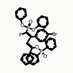 O=P(Oc1ccccc1)(Oc1ccccc1)C(F)=C(C=C(OP(=O)(c1ccccc1)c1ccccc1)c1ccccc1)c1ccc(Br)cc1